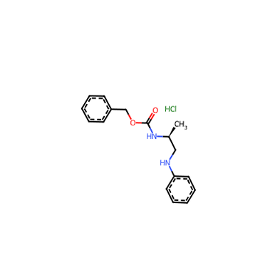 C[C@@H](CNc1ccccc1)NC(=O)OCc1ccccc1.Cl